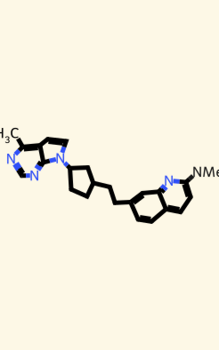 CNc1ccc2ccc(CCC3CCC(n4ccc5c(C)ncnc54)C3)cc2n1